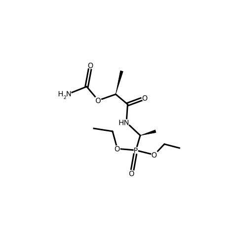 CCOP(=O)(OCC)[C@H](C)NC(=O)[C@H](C)OC(N)=O